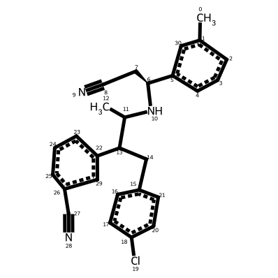 Cc1cccc([C@H](CC#N)NC(C)C(Cc2ccc(Cl)cc2)c2cccc(C#N)c2)c1